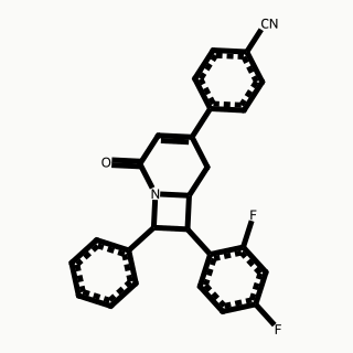 N#Cc1ccc(C2=CC(=O)N3C(C2)C(c2ccc(F)cc2F)C3c2ccccc2)cc1